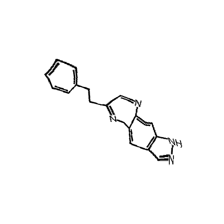 c1ccc(CCc2cnc3cc4[nH]ncc4cc3n2)cc1